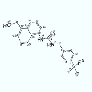 O=C(NCc1ccc(C(F)(F)F)cc1)Nc1cccc2c(CO)nccc12